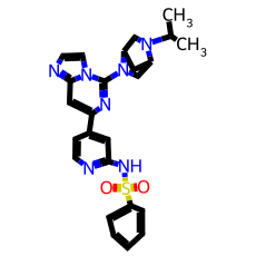 CC(C)N1CC2CC1CN2c1nc(-c2ccnc(NS(=O)(=O)c3ccccc3)c2)cc2nccn12